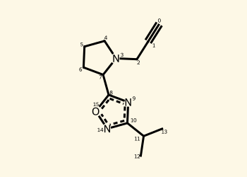 C#CCN1CCCC1c1nc(C(C)C)no1